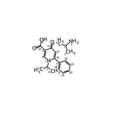 CC(C)N.CC(C)n1cc(C(=O)O)c(=O)cc1-c1ccccc1